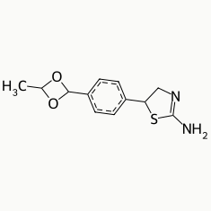 CC1OC(c2ccc(C3CN=C(N)S3)cc2)O1